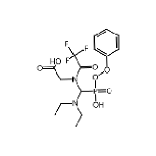 CCN(CC)C(N(CC(=O)O)C(=O)C(F)(F)F)P(=O)(O)OOc1ccccc1